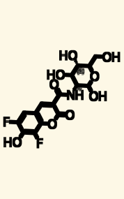 O=C(N[C@@H]1C(O)OC(CO)[C@@H](O)C1O)c1cc2cc(F)c(O)c(F)c2oc1=O